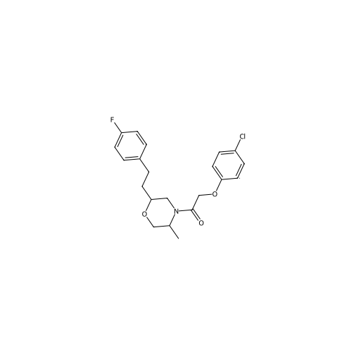 CC1COC(CCc2ccc(F)cc2)CN1C(=O)COc1[c]cc(Cl)cc1